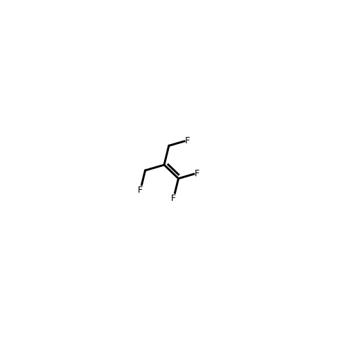 FCC(CF)=C(F)F